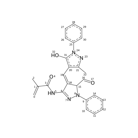 C=C(C)C(=O)NC1=NN(c2ccccc2)C(C=O)C1=Cc1c(C)nn(-c2ccccc2)c1O